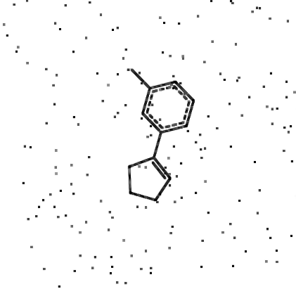 [CH2]c1cccc(C2=CCCC2)c1